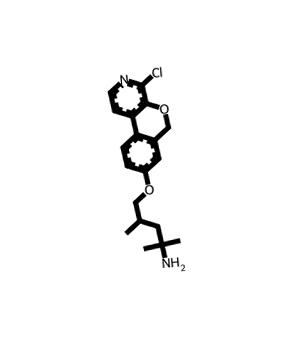 CC(COc1ccc2c(c1)COc1c-2ccnc1Cl)CC(C)(C)N